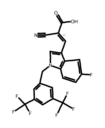 N#C/C(=C\c1cn(Cc2cc(C(F)(F)F)cc(C(F)(F)F)c2)c2ccc(F)cc12)C(=O)O